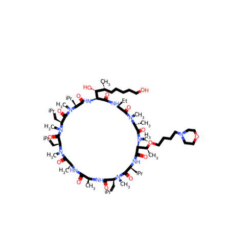 CC[C@@H]1NC(=O)[C@H]([C@H](O)[C@H](C)CCCCCO)NC(=O)[C@H](C(C)C)N(C)C(=O)[C@H](CC(C)C)N(C)C(=O)[C@H](CC(C)C)N(C)C(=O)[C@@H](C)NC(=O)[C@H](C)NC(=O)[C@H](CC(C)C)N(C)C(=O)[C@H](C(C)C)NC(=O)[C@H]([C@@H](C)OCCCCN2CCOCC2)N(C)C(=O)[C@@H](C)N(C)C1=O